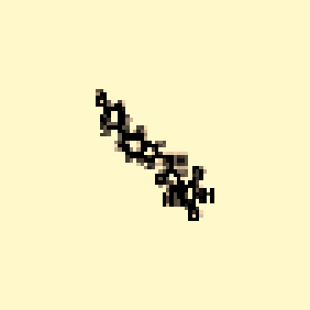 COc1ccc(-c2ccc3c(c2)CC(NC(=O)CC2(C)NC(=O)NC2=O)C3)cn1